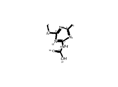 COc1nc(C)nc(NC(=O)O)n1